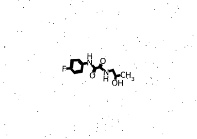 CC(O)CNC(=O)C(=O)Nc1ccc(F)cc1